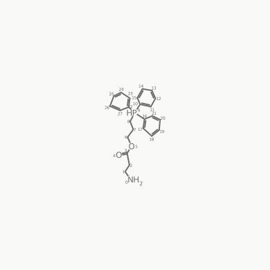 NCCC(=O)OCCC[PH](c1ccccc1)(c1ccccc1)c1ccccc1